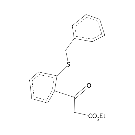 CCOC(=O)CC(=O)c1ccccc1SCc1ccccc1